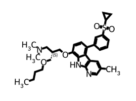 CCCCOC[C@@H](COc1ccc(-c2cccc(S(=O)(=O)C3CC3)c2)c2c1[nH]c1ncc(C)cc12)CN(C)C